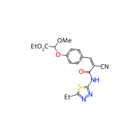 CCOC(=O)C(OC)Oc1ccc(C=C(C#N)C(=O)Nc2nnc(CC)s2)cc1